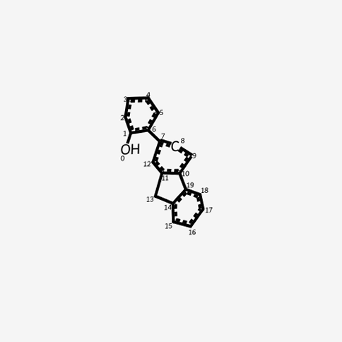 Oc1ccccc1-c1ccc2c(c1)Cc1ccccc1-2